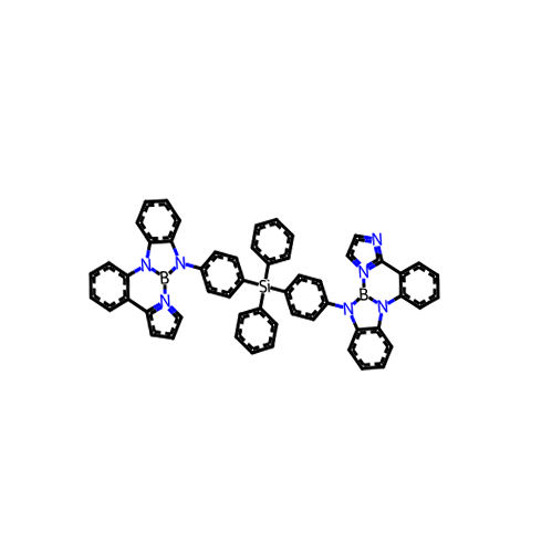 c1ccc([Si](c2ccccc2)(c2ccc(N3B4N(c5ccccc5-c5cccn54)c4ccccc43)cc2)c2ccc(N3B4N(c5ccccc5-c5nccn54)c4ccccc43)cc2)cc1